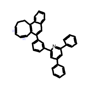 C1=C\CCc2c(c(-c3cccc(-c4cc(-c5ccccc5)cc(-c5ccccc5)n4)c3)cc3ccccc23)\C=C/1